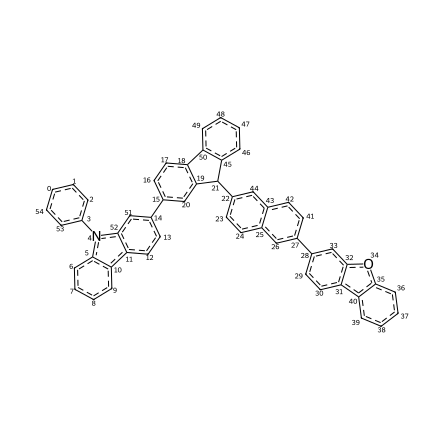 c1ccc(-n2c3ccccc3c3ccc(-c4ccc5c(c4)C(c4ccc6cc(-c7ccc8c(c7)oc7ccccc78)ccc6c4)c4ccccc4-5)cc32)cc1